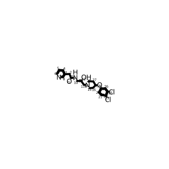 O=C(Cc1cccnc1)NC[C@@H](O)CN1CCC(Oc2ccc(Cl)c(Cl)c2)CC1